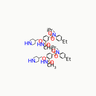 CCc1ccc(N(CC(C)C)S(=O)(=O)c2ccc(OCC3CCNCC3)c(S(C)(=N)=O)c2)cc1.CCc1ccc(N(CC(C)C)S(=O)(=O)c2ccc(OCC3CCNCC3)c(S(C)(=N)=O)c2)cc1